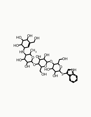 CC1OC(OC2C(CO)OC(OC3C(CO)OC(Sc4c[nH]c5ccccc45)C(O)C3O)C(O)C2O)C(O)C(O)C1NC1C=C(CO)C(O)C(O)C1O